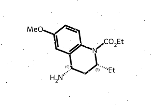 CCOC(=O)N1c2ccc(OC)cc2[C@@H](N)C[C@H]1CC